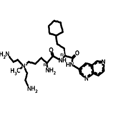 C[N+](CCN)(CCN)CCC[C@H](N)C(=O)N[C@@H](CCC1CCCCC1)C(=O)Nc1cnc2ccncc2c1